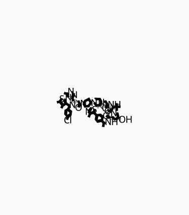 Cc1ncsc1-c1ccc(C(C)NC(=O)[C@@H]2C[C@@H](O)CN2C(=O)[C@@H](NC(=O)CN2CCN(C3CCN(C(=O)C[C@@H]4N=C(c5ccc(Cl)cc5)c5c(sc(C)c5C)-n5c(C)nnc54)CC3)C[C@H]2C)C(C)(C)C)cc1